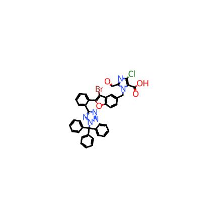 O=Cc1nc(Cl)c(C(=O)O)n1Cc1ccc2oc(-c3ccccc3-c3nnn(C(c4ccccc4)(c4ccccc4)c4ccccc4)n3)c(Br)c2c1